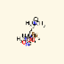 CN(C)C(=O)Oc1cccnc1C(=O)[N+](C)(C)CCCCCCCCCC[N+](C)(C)C1CCCCC1.[Br-].[Br-]